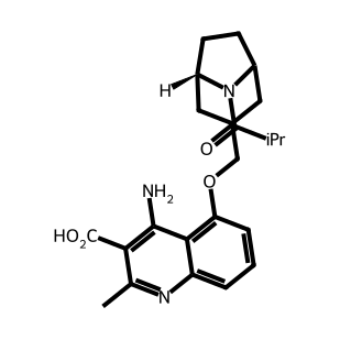 Cc1nc2cccc(OCC3CC4CC[C@@H](C3)N4C(=O)C(C)C)c2c(N)c1C(=O)O